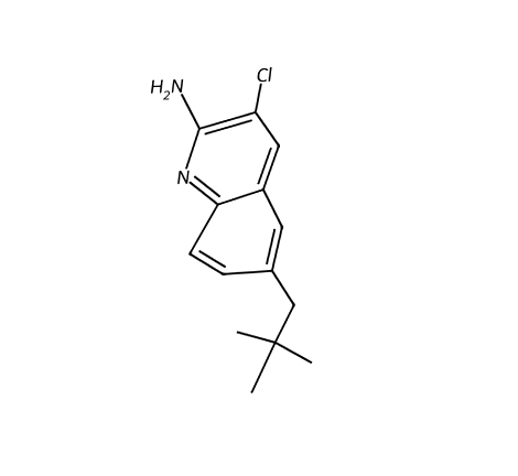 CC(C)(C)Cc1ccc2nc(N)c(Cl)cc2c1